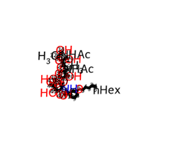 CCCCCC/C=C\CCCOc1cccc(C(=O)N[C@@H]2C(O[C@H]3C(O)C(NC(C)=O)[C@H](OC(C)C(CO)O[C@@H](C)[C@H](O)NC(C)=O)O[C@H]3CO)OC(CO)[C@@H](O)[C@@H]2O)c1